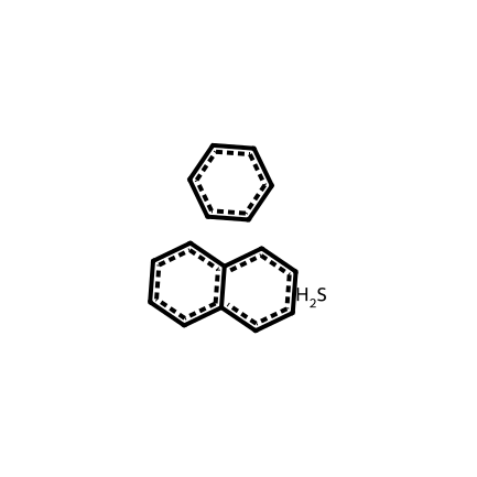 S.c1ccc2ccccc2c1.c1ccccc1